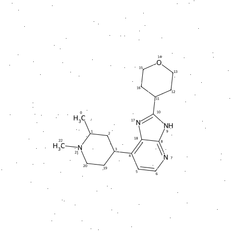 CC1CC(c2ccnc3[nH]c(C4CCOCC4)nc23)CCN1C